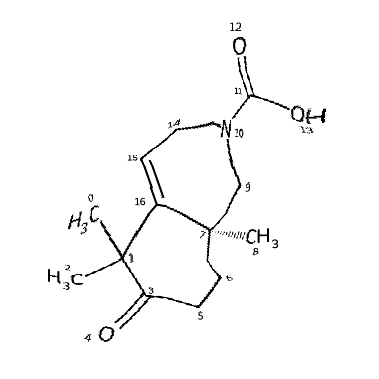 CC1(C)C(=O)CC[C@]2(C)CN(C(=O)O)CC=C12